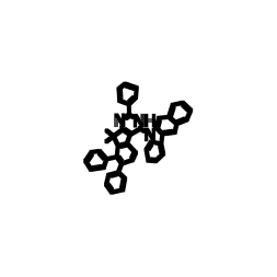 CC1(C)C2=C(c3ccc(-c4ccccc4)c(-c4ccccc4)c31)C(n1c3ccccc3c3cc4ccccc4cc31)NC(c1ccccc1)=N2